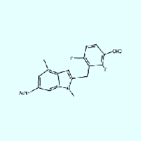 CC(=O)Nc1cc(C)c2cc(Cc3c(Cl)ccc(C=O)c3Cl)n(C)c2c1